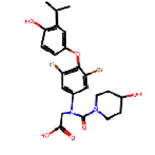 CC(C)c1cc(Oc2c(Br)cc(N(CC(=O)O)C(=O)N3CCC(O)CC3)cc2Br)ccc1O